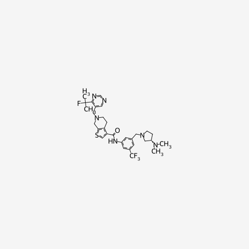 CN(C)[C@@H]1CCN(Cc2cc(NC(=O)c3csc4c3CCN(Cc3cncnc3C(C)(C)F)C4)cc(C(F)(F)F)c2)C1